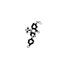 COC(=O)c1cc([N+](=O)[O-])ccc1N(c1cnn(-c2ccc(Cl)cc2)c1)[SH](=O)=O